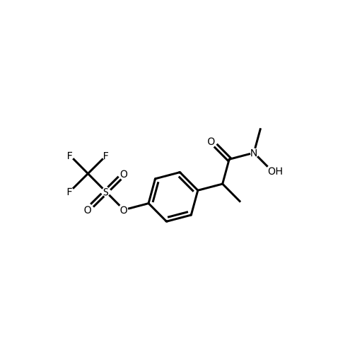 CC(C(=O)N(C)O)c1ccc(OS(=O)(=O)C(F)(F)F)cc1